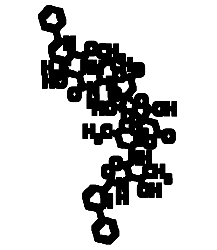 CC(C)C[C@H](NC(=O)[C@@H](NC(=O)c1cccc(-c2ccccc2)n1)[C@@H](C)O)B1OC(=O)C[C@@](CC[C@@]2(C(=O)O)CC(=O)OB([C@H](CC(C)C)NC(=O)[C@@H](NC(=O)c3cccc(-c4ccccc4)n3)[C@@H](C)O)O2)(C(=O)O)O1